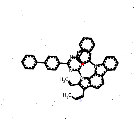 C=Cc1c(/C=C\C)c2ccc3c4ccccc4n(-c4ccccc4)c3c2n1-c1nc(-c2ccccc2)nc(-c2ccc(-c3ccccc3)cc2)n1